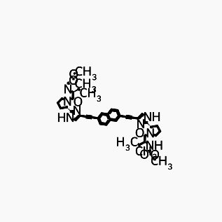 COO/C=N\[C@H](C(=O)N1CCC[C@H]1c1nc(C#Cc2ccc3cc(C#Cc4c[nH]c([C@@H]5CCCN5C(=O)[C@@H](NC(=O)OC)C(C)C)n4)ccc3c2)c[nH]1)C(C)C